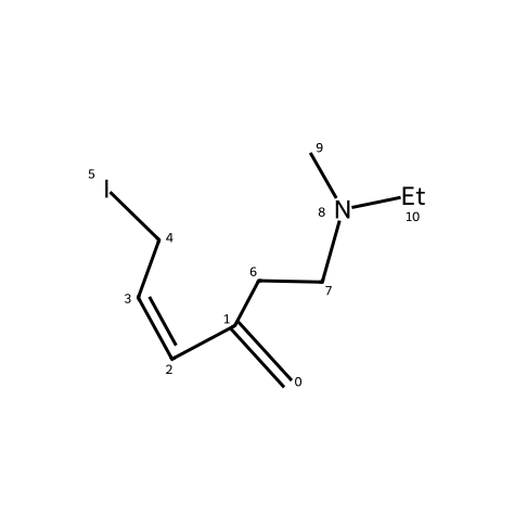 C=C(/C=C\CI)CCN(C)CC